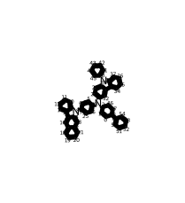 C1=CC(N(c2ccc(-n3c4ccccc4c4cc5ccccc5cc43)cc2)c2ccc3c(c2)c2ccccc2n3-c2ccccc2)CCC1c1ccccc1